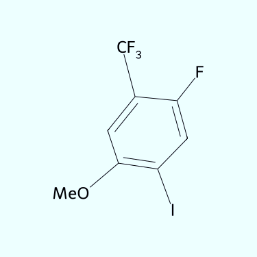 COc1cc(C(F)(F)F)c(F)cc1I